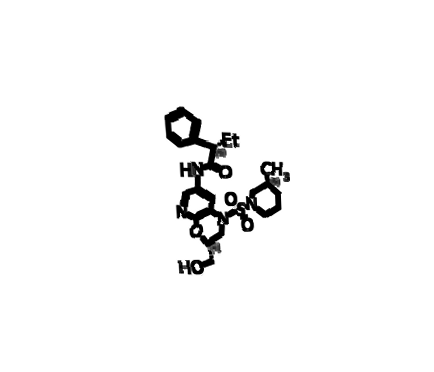 CC[C@H](C(=O)Nc1cnc2c(c1)N(S(=O)(=O)N1CCC[C@H](C)C1)C[C@H](CO)O2)c1ccccc1